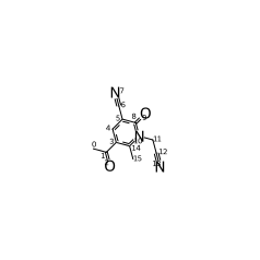 CC(=O)c1cc(C#N)c(=O)n(CC#N)c1C